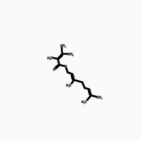 CC(C)=CCC/C(C)=C/COC(=O)C(C)=C(C)C